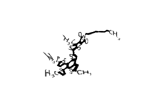 CCCCCCN1C(=O)c2sc3c(-c4cc5c(s4)c(-c4ccc(C)s4)c(-c4ccc(C)s4)c4sc(C)cc45)sc(C)c3c2C1=O